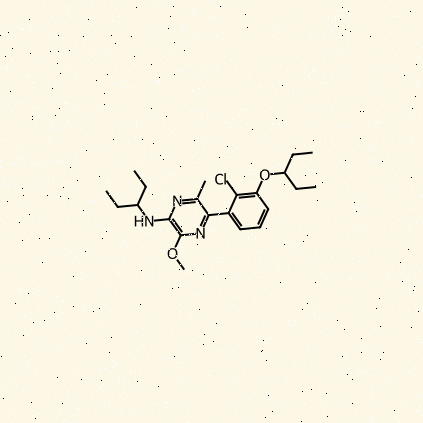 CCC(CC)Nc1nc(C)c(-c2cccc(OC(CC)CC)c2Cl)nc1OC